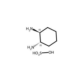 N[C@H]1CCCC[C@@H]1N.O=S(=O)(O)O